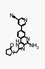 N#Cc1cncc(-c2ccc3c(c2)nc(N)c2nc(CN4CCCC4=O)[nH]c23)c1